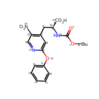 CC(C)(C)OC(=O)N[C@@H](Cc1cc(Oc2ccccc2)ncc1[N+](=O)[O-])C(=O)O